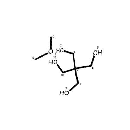 COC.OCC(CO)(CO)CO